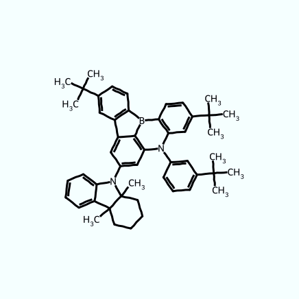 CC(C)(C)c1cccc(N2c3cc(C(C)(C)C)ccc3B3c4ccc(C(C)(C)C)cc4-c4cc(N5c6ccccc6C6(C)CCCCC56C)cc2c43)c1